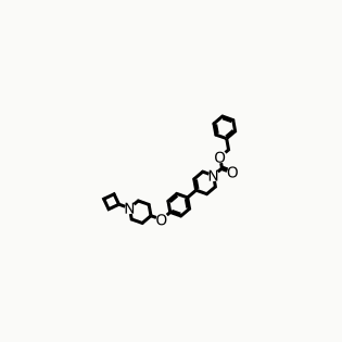 O=C(OCc1ccccc1)N1CC=C(c2ccc(OC3CCN(C4CCC4)CC3)cc2)CC1